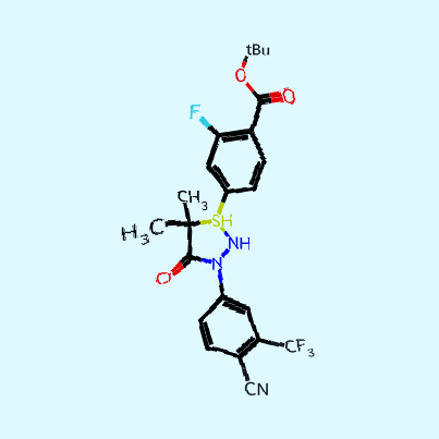 CC(C)(C)OC(=O)c1ccc([SH]2NN(c3ccc(C#N)c(C(F)(F)F)c3)C(=O)C2(C)C)cc1F